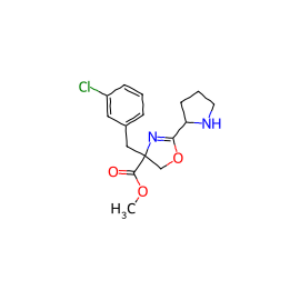 COC(=O)C1(Cc2cccc(Cl)c2)COC(C2CCCN2)=N1